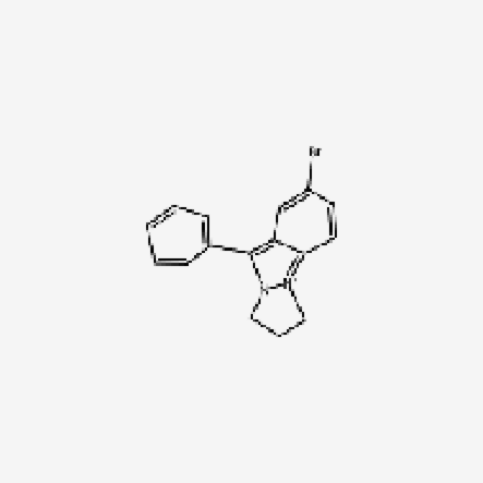 Brc1ccc2c(c1)c(-c1ccccc1)n1[n+]2CCC1